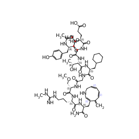 C=C1/C=C\C=C/CN/C=C\1C[C@H](NC(=O)[C@H](CCCNC(=N)NC)NC(=O)[C@H](COC)NC(=O)CNC(=O)[C@H](CC1CCCCC1)NC(=O)[C@@H](NC(=O)[C@H](CC(N)=O)NC(=O)[C@H](CCC(=O)O)NC(=O)[C@@H](Cc1ccc(O)cc1)NC(C)=O)[C@@H](C)O)C(N)=O